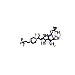 C#C/C(N)=C(\C=C(/C)OC1(C)CC1)C(=N)/C(N)=C/C(=N)N1CCN(CCC(F)(F)F)CC1